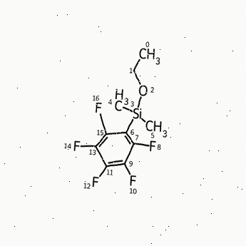 CCO[Si](C)(C)c1c(F)c(F)c(F)c(F)c1F